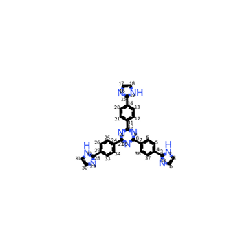 c1c[nH]c(-c2ccc(-c3nc(-c4ccc(-c5ncc[nH]5)cc4)nc(-c4ccc(-c5ncc[nH]5)cc4)n3)cc2)n1